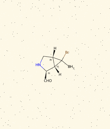 BC1(Br)[C@@H]2[C@@H](C=O)NC[C@@H]21